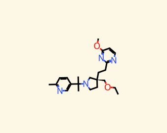 CCOC[C@@]1(CCc2nccc(OC)n2)CCN(C(C)(C)c2ccc(C)nc2)C1